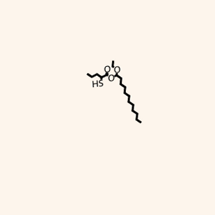 CCCCCCCCCCCC(OCC)OC(=O)C(S)CCC